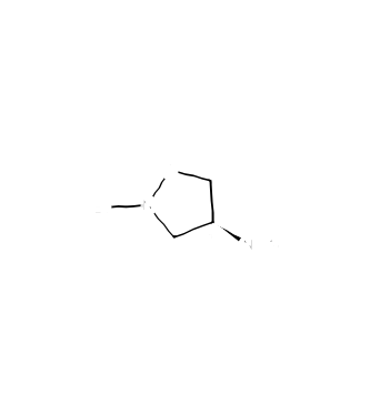 CCN1C[C@H](NC(C)=O)CO1